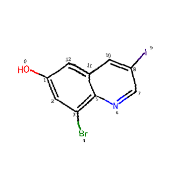 Oc1cc(Br)c2ncc(I)cc2c1